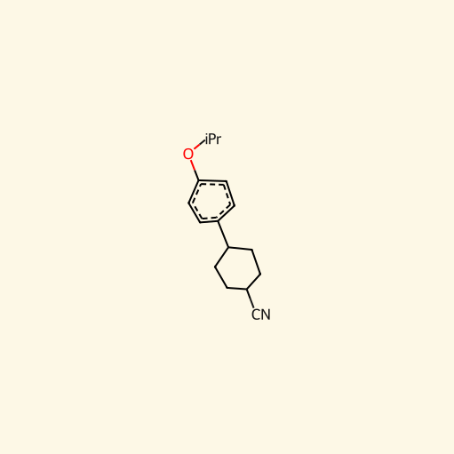 CC(C)Oc1ccc(C2CCC(C#N)CC2)cc1